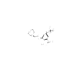 CNc1cc(OCCN2CCOCC2)cc(OC(F)(F)F)c1